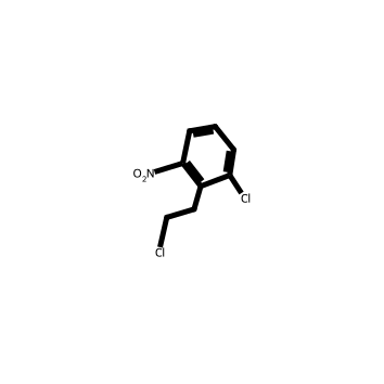 O=[N+]([O-])c1cccc(Cl)c1CCCl